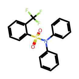 O=S(=O)(c1ccccc1C(F)(F)F)N(c1ccccc1)c1ccccc1